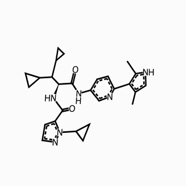 Cc1c[nH]c(C)c1-c1ccc(NC(=O)[C@@H](NC(=O)c2ccnn2C2CC2)C(C2CC2)C2CC2)cn1